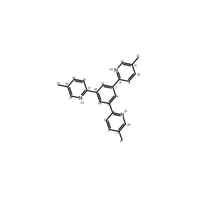 Cc1ccc(-c2cc(-c3ccc(C)cn3)cc(-c3ccc(C)cn3)c2)nc1